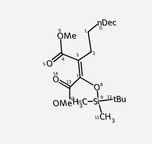 CCCCCCCCCCCC/C(C(=O)OC)=C(\O[Si](C)(C)C(C)(C)C)C(=O)OC